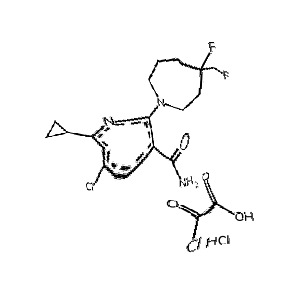 Cl.NC(=O)c1cc(Cl)c(C2CC2)nc1N1CCCC(F)(F)CC1.O=C(O)C(=O)Cl